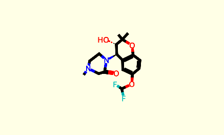 CN1CCN([C@@H]2c3cc(OC(F)F)ccc3OC(C)(C)[C@H]2O)C(=O)C1